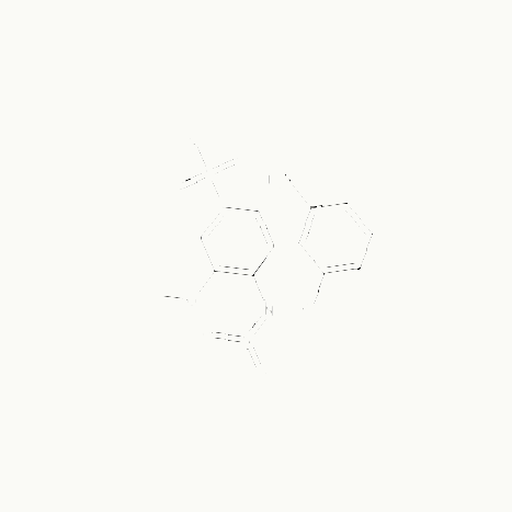 COc1cc(S(=O)(=O)O)ccc1N=S(=O)=O.Nc1cccc(Cl)c1